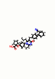 CCCc1c(Cc2ccc(-c3ccccc3C#N)cc2)c(=O)nc(CC)n1-c1ccc(OC2(C(=O)O)CCCC2)cc1